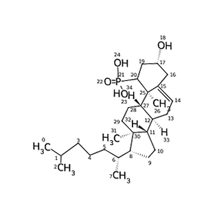 CC(C)CCC[C@@H](C)[C@H]1CC[C@H]2[C@@H]3CC=C4C[C@@H](O)CC(P(=O)(O)O)[C@]4(C)[C@H]3CC[C@]12C